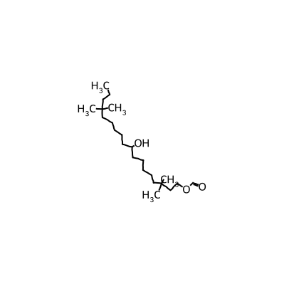 CCCC(C)(C)CCCCCC(O)CCCCCC(C)(C)CCOC=O